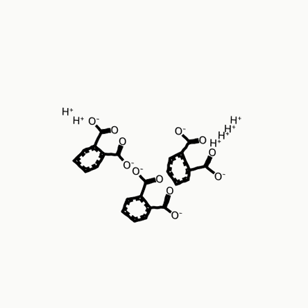 O=C([O-])c1ccccc1C(=O)[O-].O=C([O-])c1ccccc1C(=O)[O-].O=C([O-])c1ccccc1C(=O)[O-].[H+].[H+].[H+].[H+].[H+].[H+]